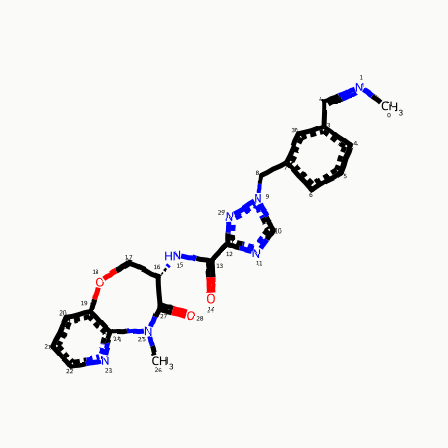 C/N=C\c1cccc(Cn2cnc(C(=O)N[C@H]3COc4cccnc4N(C)C3=O)n2)c1